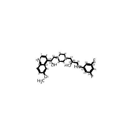 COc1ccc2nccc([C@@H](O)CN3CCN(C[C@H](O)CNc4cc(F)cc(F)c4)CC3)c2c1